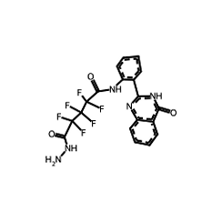 NNC(=O)C(F)(F)C(F)(F)C(F)(F)C(=O)Nc1ccccc1-c1nc2ccccc2c(=O)[nH]1